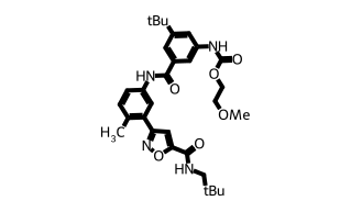 COCCOC(=O)Nc1cc(C(=O)Nc2ccc(C)c(-c3cc(C(=O)NCC(C)(C)C)on3)c2)cc(C(C)(C)C)c1